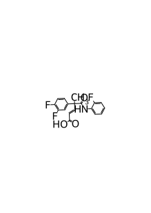 CC(C=CC(=O)O)(C(=O)Nc1ccccc1F)c1ccc(F)c(F)c1